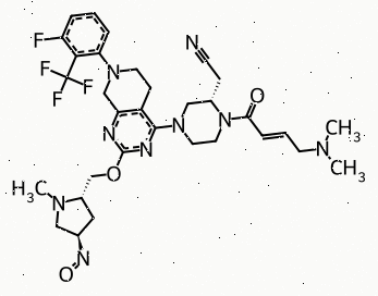 CN(C)C/C=C/C(=O)N1CCN(c2nc(OC[C@@H]3C[C@@H](N=O)CN3C)nc3c2CCN(c2cccc(F)c2C(F)(F)F)C3)C[C@@H]1CC#N